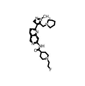 Cn1ncc(-c2ccc3cnc(NC(=O)C4CCN(CCF)CC4)cc3n2)c1CN1CCCCC1